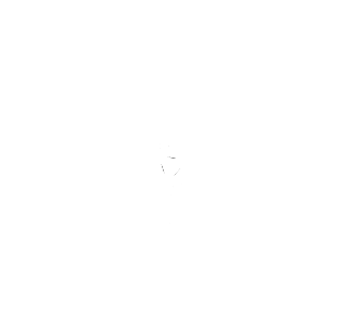 CCCCC1CCC(COc2ccc(OCCCC3CCCCC3C)cc2)CC1